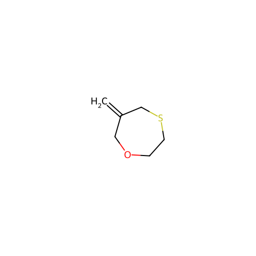 C=C1COCCSC1